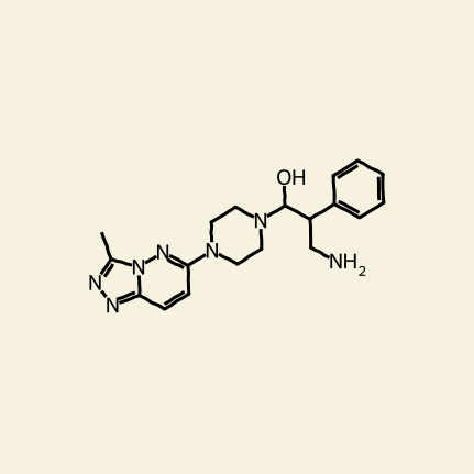 Cc1nnc2ccc(N3CCN(C(O)C(CN)c4ccccc4)CC3)nn12